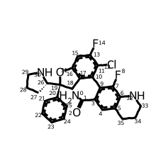 NC(=O)c1cc2c(c(F)c1-c1c(Cl)c(F)cc3c1C[C@](c1ccccc1)([C@@H]1CCCN1)O3)NCCC2